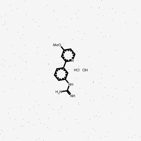 COc1ccnc(-c2cccc(NC(=N)N)c2)c1.Cl.Cl